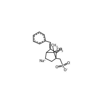 CC1(C)C2CCC1(CS(=O)(=O)[O-])C(=O)C2=Cc1ccccc1.[Na+]